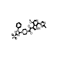 COc1cnc(-n2cnc(C)n2)c2[nH]cc(C(=O)C(=O)N3CCN(c4nc(S(C)(=O)=O)nn4-c4ccccc4)CC3)c12